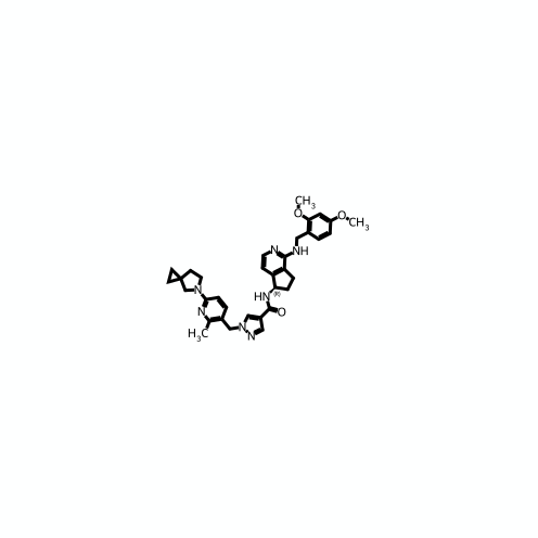 COc1ccc(CNc2nccc3c2CC[C@H]3NC(=O)c2cnn(Cc3ccc(N4CCC5(CC5)C4)nc3C)c2)c(OC)c1